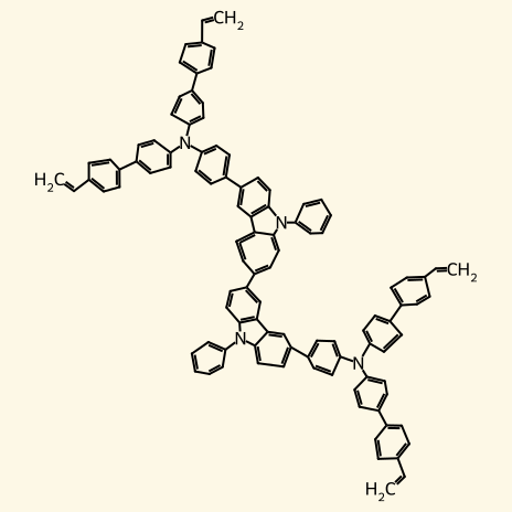 C=Cc1ccc(-c2ccc(N(c3ccc(-c4ccc(C=C)cc4)cc3)c3ccc(-c4ccc5c(c4)c4c(n5-c5ccccc5)=CC=C(c5ccc6c(c5)c5cc(-c7ccc(N(c8ccc(-c9ccc(C=C)cc9)cc8)c8ccc(-c9ccc(C=C)cc9)cc8)cc7)ccc5n6-c5ccccc5)C=C=4)cc3)cc2)cc1